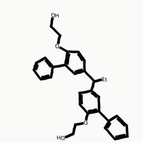 CCC(c1ccc(OCCO)c(-c2ccccc2)c1)c1ccc(OCCO)c(-c2ccccc2)c1